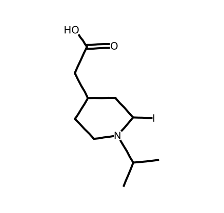 CC(C)N1CCC(CC(=O)O)CC1I